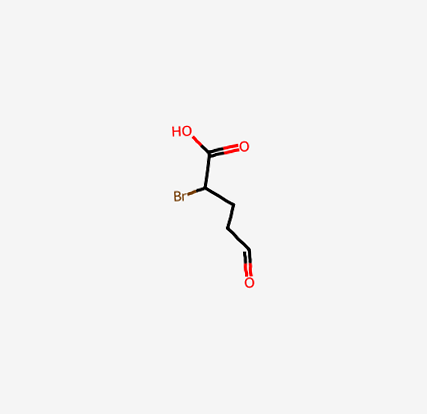 O=CCCC(Br)C(=O)O